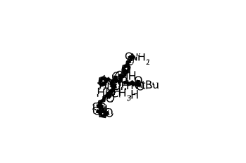 C[C@@H](NC(=O)CCCC(=O)ON1C(=O)CCC1=O)C(O)N[C@@H](Cc1ccccc1)C(=O)N[C@@H](CCCCNC(=O)OC(C)(C)C)C(=O)Nc1ccc(COC(N)=O)cc1